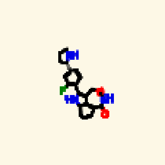 O=C1NOCc2c(-c3ccc([C@@H]4CCCN4)cc3F)[nH]c3cccc1c23